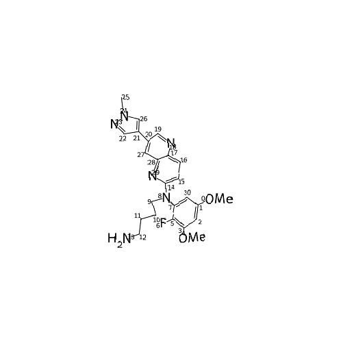 COc1cc(OC)c(F)c(N(CCCCN)c2ccc3ncc(-c4cnn(C)c4)cc3n2)c1